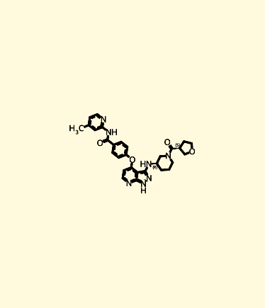 Cc1ccnc(NC(=O)c2ccc(Oc3ccnc4[nH]nc(N[C@@H]5CCCN(C(=O)[C@H]6CCOC6)C5)c34)cc2)c1